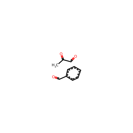 CC(=O)C=O.O=Cc1ccccc1